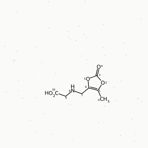 Cc1oc(=O)oc1CNCC(=O)O